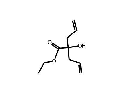 C=CCC(O)(CC=C)C(=O)OCC